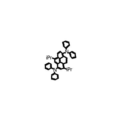 CC(C)c1cc2c(N(c3ccccc3)c3ccccc3)cc(C(C)C)c3ccc4c(N(c5ccccc5)c5ccccc5)ccc1c4c32